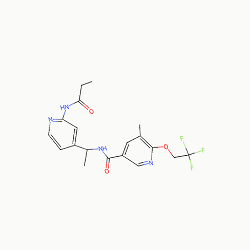 CCC(=O)Nc1cc(C(C)NC(=O)c2cnc(OCC(F)(F)F)c(C)c2)ccn1